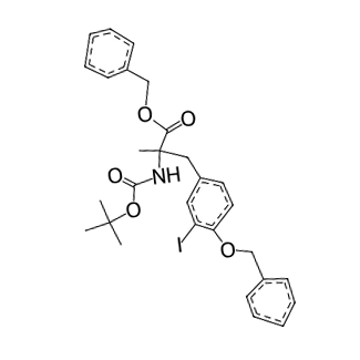 CC(C)(C)OC(=O)NC(C)(Cc1ccc(OCc2ccccc2)c(I)c1)C(=O)OCc1ccccc1